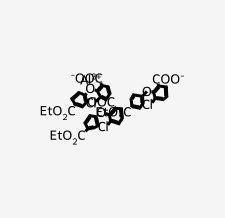 CCOC(=O)c1ccc(Oc2c(Cl)cccc2C(=O)[O-])cc1.CCOC(=O)c1ccc(Oc2c(Cl)cccc2C(=O)[O-])cc1.CCOC(=O)c1ccc(Oc2c(Cl)cccc2C(=O)[O-])cc1.[Al+3]